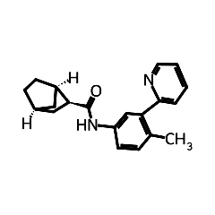 Cc1ccc(NC(=O)[C@H]2C[C@H]3CC[C@@H]2C3)cc1-c1ccccn1